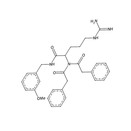 COc1cccc(CNC(=O)C(CCCNC(=N)N)N(C(=O)Cc2ccccc2)C(=O)Cc2ccccc2)c1